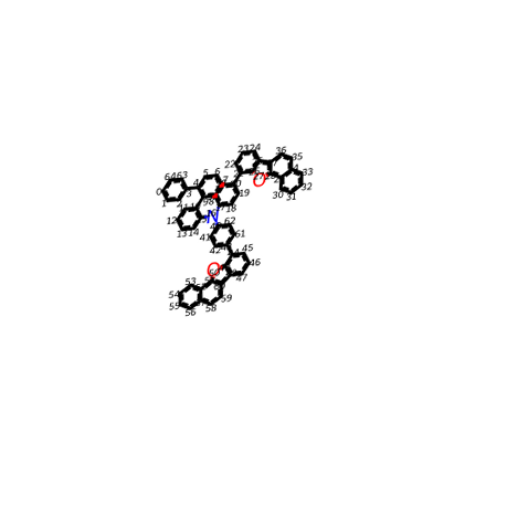 c1ccc(-c2ccccc2-c2ccccc2N(c2ccc(-c3cccc4c3oc3c5ccccc5ccc43)cc2)c2ccc(-c3cccc4c3oc3c5ccccc5ccc43)cc2)cc1